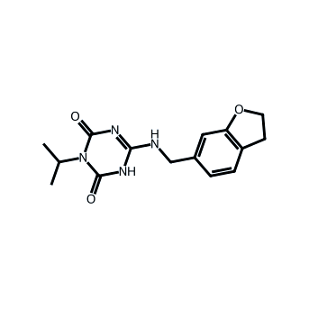 CC(C)n1c(=O)nc(NCc2ccc3c(c2)OCC3)[nH]c1=O